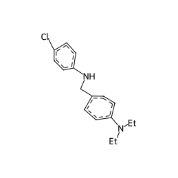 CCN(CC)c1ccc(CNc2ccc(Cl)cc2)cc1